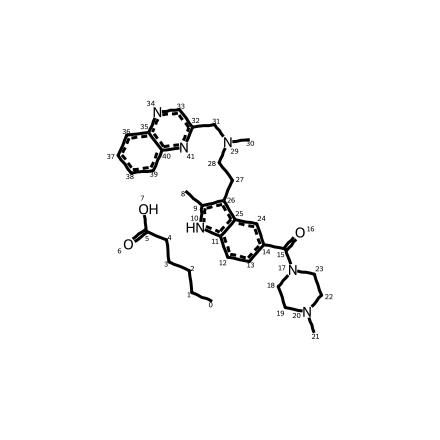 CCCCCC(=O)O.Cc1[nH]c2ccc(C(=O)N3CCN(C)CC3)cc2c1CCN(C)Cc1cnc2ccccc2n1